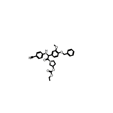 CCOC(=O)OC1CCN(C(=O)C(Nc2ccc(C#N)cc2)c2ccc(OCc3ccccc3)c(OC)c2)C1